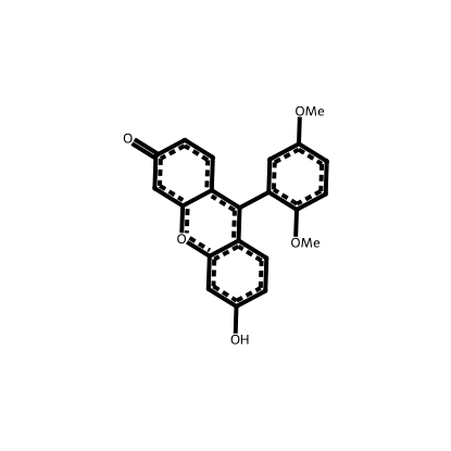 COc1ccc(OC)c(-c2c3ccc(=O)cc-3oc3cc(O)ccc23)c1